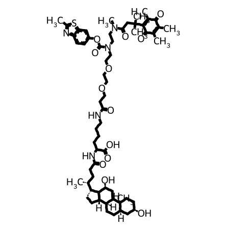 CC1=C(C)C(=O)C(C(C)(C)CC(=O)N(C)CCN(CCOCCOCCC(=O)NCCCCC(NC(=O)CC[C@@H](C)[C@H]2CC[C@@H]3C2[C@@H](O)C[C@H]2[C@H]3CC[C@@H]3C[C@H](O)CC[C@@]32C)C(=O)O)C(=O)Oc2ccc3nc(C)sc3c2)=C(C)C1=O